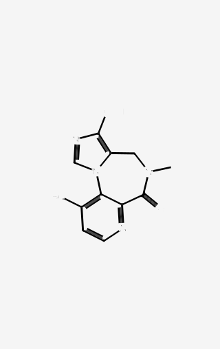 CN1Cc2c(C(=O)O)ncn2-c2c(C(C)(C)C)ccnc2C1=O